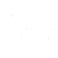 Cc1ccc(S(=O)(=O)n2c(C(=O)/C(C#N)=C/N(C)C)cc3ccc(NS(C)(=O)=P)cc32)cc1